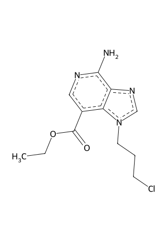 CCOC(=O)c1cnc(N)c2ncn(CCCCl)c12